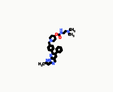 Cc1cc2ncc3cc(-c4ccccc4)c(-c4ccc(CN5CCC(OC(=O)NCCN(C)C)CC5)cc4)nc3n2n1